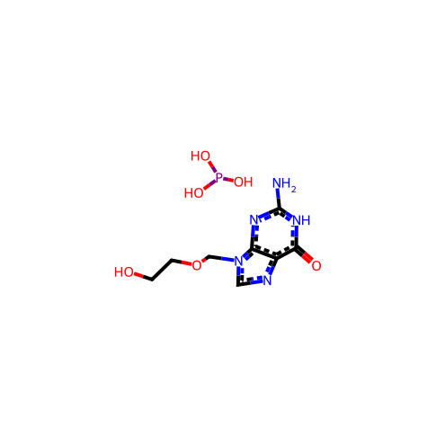 Nc1nc2c(ncn2COCCO)c(=O)[nH]1.OP(O)O